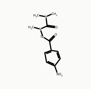 CN(C)C(=O)N(C)[Te]C(=O)c1ccc([N+](=O)[O-])cc1